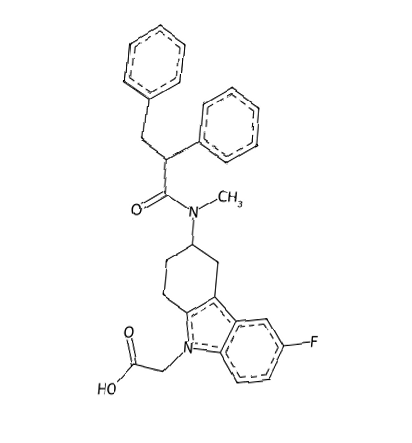 CN(C(=O)C(Cc1ccccc1)c1ccccc1)C1CCc2c(c3cc(F)ccc3n2CC(=O)O)C1